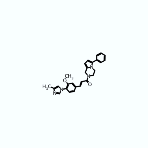 COc1cc(/C=C/C(=O)N2CCn3c(ccc3-c3ccccc3)C2)ccc1-n1cnc(C)c1